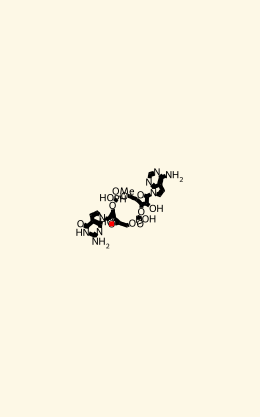 CO[PH]1(O)OCC2OC(n3ccc4c(N)ncnc43)C(O)C2OP(=O)(O)OCC2OC(n3ccc4c(=O)[nH]c(N)nc43)C(O1)C2O